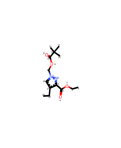 CCOC(=O)c1nn(COC(=O)C(C)(C)C)cc1CC